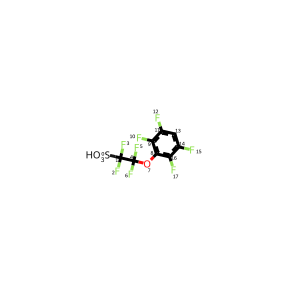 O=S(=O)(O)C(F)(F)C(F)(F)Oc1c(F)c(F)cc(F)c1F